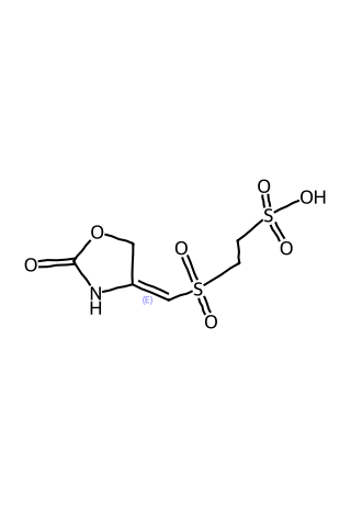 O=C1N/C(=C/S(=O)(=O)CCS(=O)(=O)O)CO1